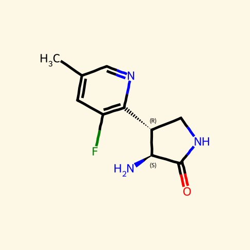 Cc1cnc([C@@H]2CNC(=O)[C@H]2N)c(F)c1